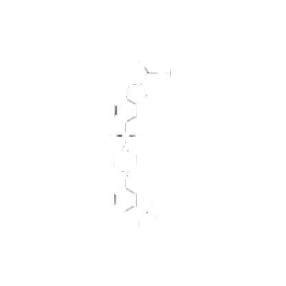 CC(=O)C1Cc2ccc(S(=O)(=O)N3CCN(c4cccc(C(F)(F)F)c4)CC3)cc2C1